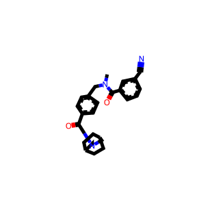 CN(Cc1ccc(C(=O)N2CC3CCC(CC3)C2)cc1)C(=O)c1cccc(C#N)c1